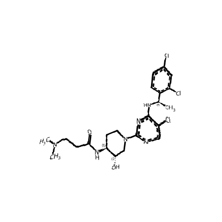 C[C@@H](Nc1nc(N2CC[C@H](NC(=O)CCN(C)C)[C@@H](O)C2)ncc1Cl)c1ccc(Cl)cc1Cl